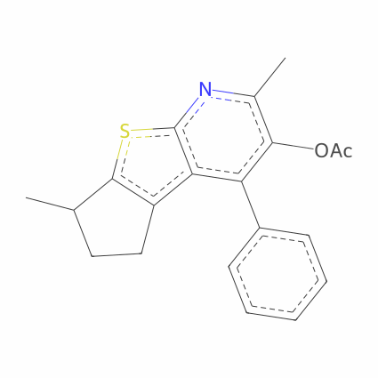 CC(=O)Oc1c(C)nc2sc3c(c2c1-c1ccccc1)CCC3C